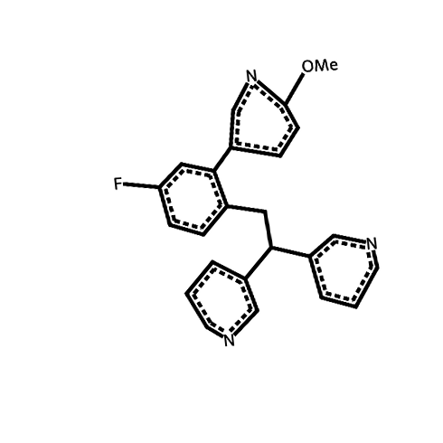 COc1ccc(-c2cc(F)ccc2CC(c2cccnc2)c2cccnc2)cn1